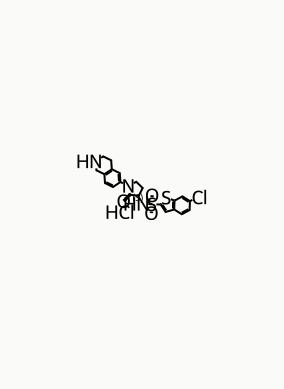 Cl.O=C1[C@@H](NS(=O)(=O)c2cc3ccc(Cl)cc3s2)CCN1c1ccc2c(c1)CCNC2